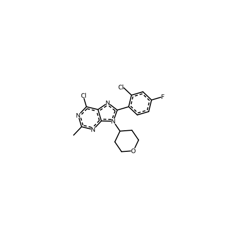 Cc1nc(Cl)c2nc(-c3ccc(F)cc3Cl)n(C3CCOCC3)c2n1